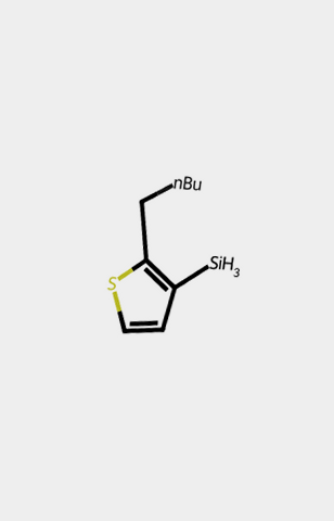 CCCCCc1sccc1[SiH3]